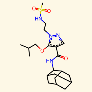 CC(C)COc1c(C(=O)NC2C3CC4CC(C3)CC2C4)cnn1CCNS(C)(=O)=O